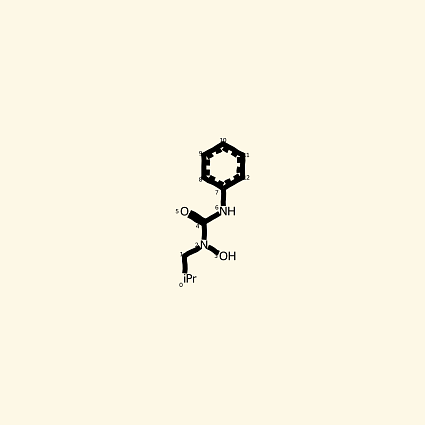 CC(C)CN(O)C(=O)Nc1ccccc1